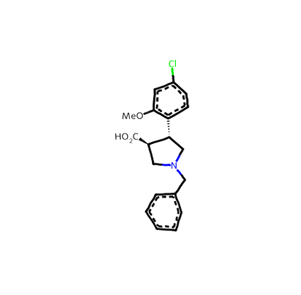 COc1cc(Cl)ccc1[C@@H]1CN(Cc2ccccc2)C[C@H]1C(=O)O